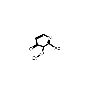 CCOC1C(=O)C=CN=C1C(C)=O